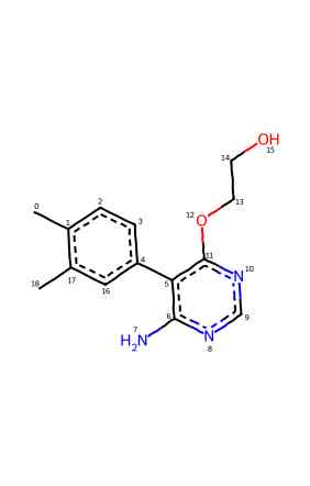 Cc1ccc(-c2c(N)ncnc2OCCO)cc1C